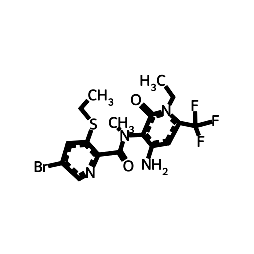 CCSc1cc(Br)cnc1C(=O)N(C)c1c(N)cc(C(F)(F)F)n(CC)c1=O